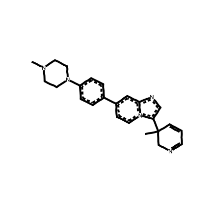 CN1CCN(c2ccc(-c3ccn4c(C5(C)C=CC=NC5)cnc4c3)cc2)CC1